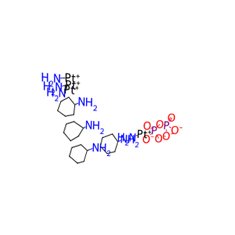 NC1CCCCC1.NC1CCCCC1.NC1CCCCC1.NC1CCCCC1.O=P([O-])([O-])OP(=O)([O-])[O-].[NH2][Pt+].[NH2][Pt+].[NH2][Pt+].[NH2][Pt+]